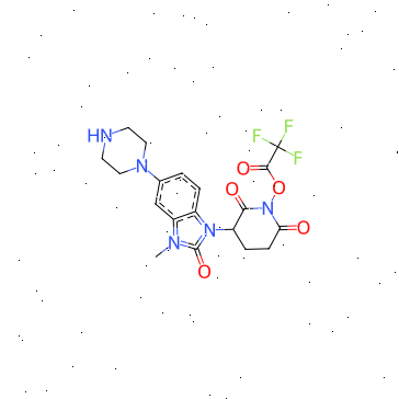 Cn1c(=O)n(C2CCC(=O)N(OC(=O)C(F)(F)F)C2=O)c2ccc(N3CCNCC3)cc21